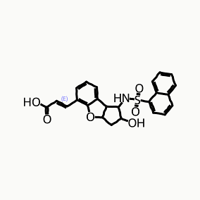 O=C(O)/C=C/c1cccc2c1OC1CC(O)C(NS(=O)(=O)c3cccc4ccccc34)C21